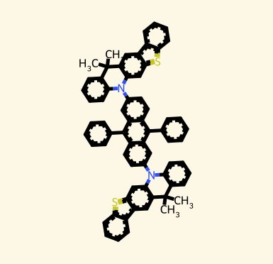 CC1(C)c2ccccc2N(c2ccc3c(-c4ccccc4)c4cc(N5c6ccccc6C(C)(C)c6cc7c(cc65)sc5ccccc57)ccc4c(-c4ccccc4)c3c2)c2cc3sc4ccccc4c3cc21